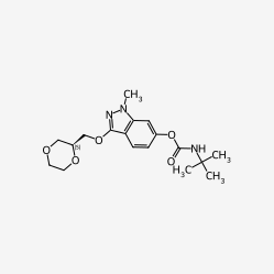 Cn1nc(OC[C@@H]2COCCO2)c2ccc(OC(=O)NC(C)(C)C)cc21